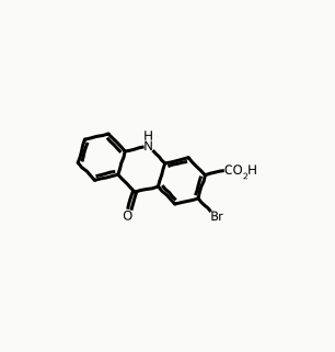 O=C(O)c1cc2[nH]c3ccccc3c(=O)c2cc1Br